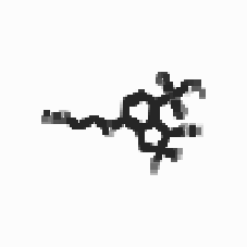 CC(=O)OCCOc1ccc(S(=O)(=O)C(F)(F)F)c2c1CC(F)(F)C2O